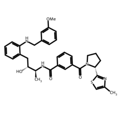 COc1cccc(CNc2ccccc2C[C@@H](O)[C@H](C)NC(=O)c2cccc(C(=O)N3CCC[C@@H]3c3nc(C)cs3)c2)c1